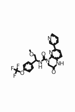 COCC(NC(=O)N1CC(=O)Nc2ccc(-c3cccnc3)nc21)c1ccc(OC(F)(F)F)cc1